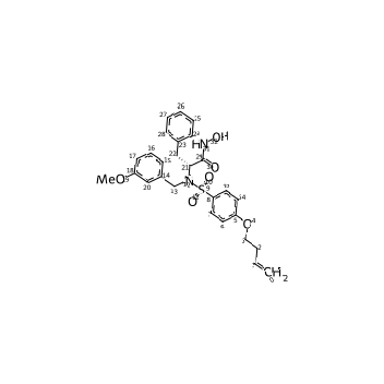 C=CCCOc1ccc(S(=O)(=O)N(Cc2cccc(OC)c2)[C@H](Cc2ccccc2)C(=O)NO)cc1